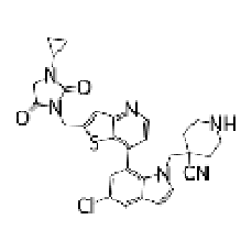 N#CC1(Cn2ccc3cc(Cl)cc(-c4ccnc5cc(CN6C(=O)CN(C7CC7)C6=O)sc45)c32)CCNCC1